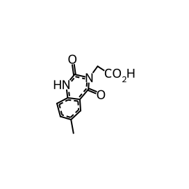 Cc1ccc2[nH]c(=O)n(CC(=O)O)c(=O)c2c1